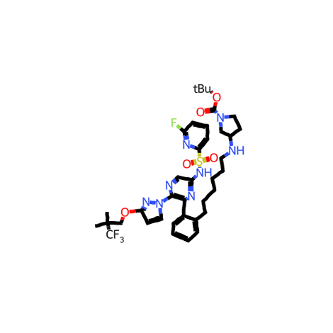 CC(C)(C)OC(=O)N1CCC(NCCCCCCc2ccccc2-c2nc(NS(=O)(=O)c3cccc(F)n3)cnc2-n2ccc(OCC(C)(C)C(F)(F)F)n2)C1